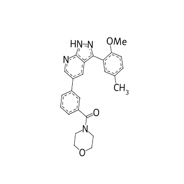 COc1ccc(C)cc1-c1n[nH]c2ncc(-c3cccc(C(=O)N4CCOCC4)c3)cc12